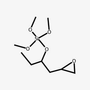 CCC(CC1CO1)O[Si](OC)(OC)OC